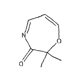 CC1(C)OC=CC=NC1=O